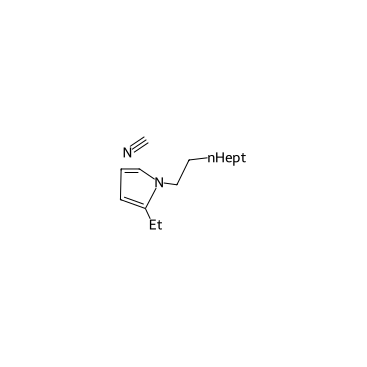 C#N.CCCCCCCCCn1cccc1CC